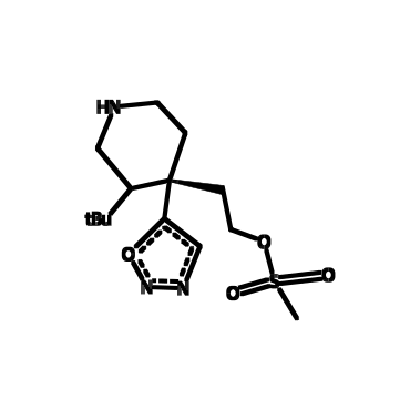 CC(C)(C)C1CNCC[C@]1(CCOS(C)(=O)=O)c1cnno1